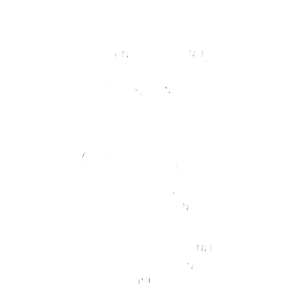 CC(C)c1n[nH]c2nnc(Oc3c(Cl)cc(-n4nc(N)c(=O)[nH]c4=O)cc3Cl)cc12